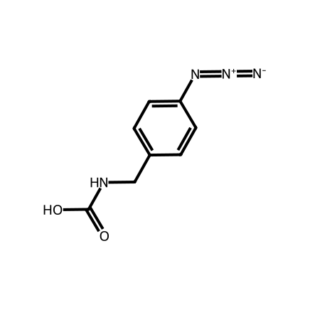 [N-]=[N+]=Nc1ccc(CNC(=O)O)cc1